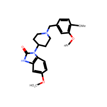 CCCOc1cc(CN2CCC(n3c(=O)[nH]c4cc(OC(=O)O)ccc43)CC2)ccc1OC